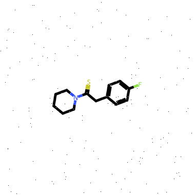 Fc1ccc(CC(=S)N2CCCCC2)cc1